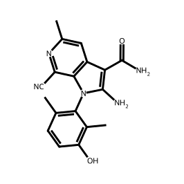 Cc1cc2c(C(N)=O)c(N)n(-c3c(C)ccc(O)c3C)c2c(C#N)n1